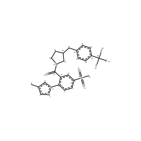 Cc1cnn(-c2ccc(S(C)(=O)=O)cc2C(=O)N2CCC(Cc3ccc(C(F)(F)F)cc3)C2)c1